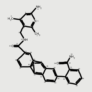 Cc1cc(N)nc(C)c1CNC(=O)c1ccc2c(c1)c1oc2c2ccc(-c3ccccc3C(N)=O)cc21